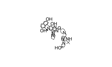 C#Cc1c(O)ccc2cc(O)cc(-c3ncc4c(N5CC6CCC(C5)N6)nc(OC5CCN(CC(=O)NC(C(=O)N6CC[C@@H](O)C6)C(C)(C)C)CC5)nc4c3O)c12